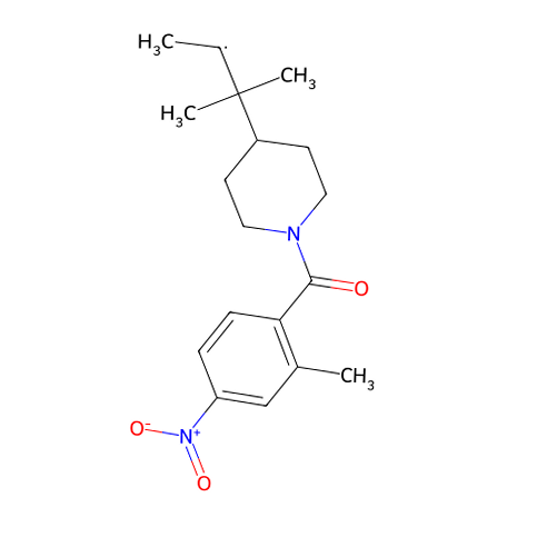 C[CH]C(C)(C)C1CCN(C(=O)c2ccc([N+](=O)[O-])cc2C)CC1